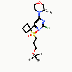 CC(C)[Si](OCCCS(=O)(=O)C1(c2cc(N3CCOC[C@@H]3C)nc(Cl)n2)CCC1)(C(C)C)C(C)C